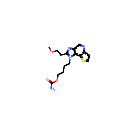 COCCc1nc2cnc3ccsc3c2n1CCCCOC(N)=O